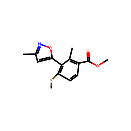 COC(=O)c1ccc(SC)c(-c2cc(C)no2)c1C